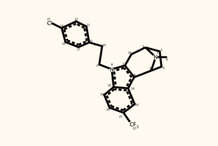 CN1C2CCC1c1c(n(CCc3ccc(Cl)cc3)c3ccc(C(F)(F)F)cc13)C2